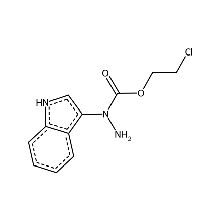 NN(C(=O)OCCCl)c1c[nH]c2ccccc12